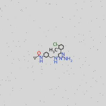 Cc1c(Cl)cccc1-c1cc(NCCc2cccc(NC(=O)C3CC3)c2)nc(N)n1